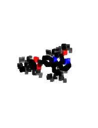 [CH2]C(C)(C)Cc1c(-c2cccnc2[C@H](C)OC)n(CC)c2ccc(B3OC(C)(C)C(C)(C)O3)cc12